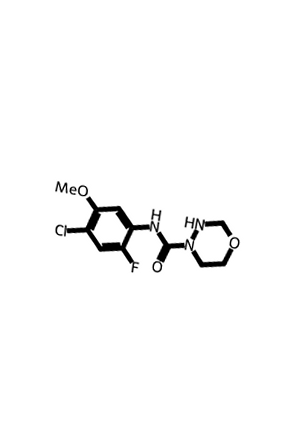 COc1cc(NC(=O)N2CCOCN2)c(F)cc1Cl